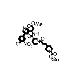 COC(=O)CC(NC(=O)[C@@H]1CCCN(C(=O)CCC2CCN(C(=O)OC(C)(C)C)CC2)C1)c1cncc(-c2ccc(Cl)c([N+](=O)[O-])c2)c1